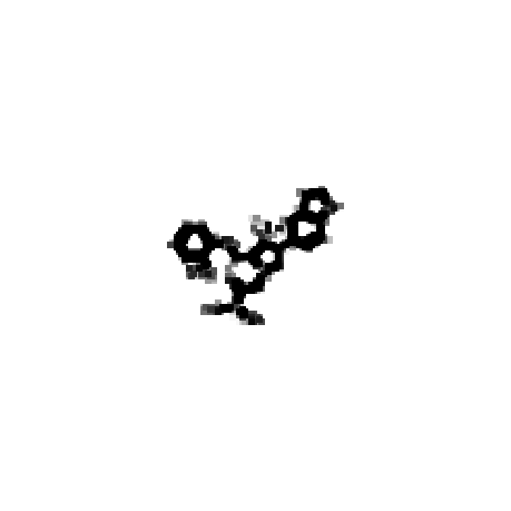 CCCCN(CCCC)C(=O)CN1C[C@H](c2ccc3c(c2)CCO3)[C@@H](C(=O)O)[C@@H]1COc1ccccc1OC